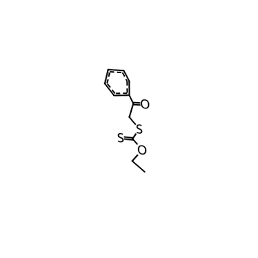 CCOC(=S)SCC(=O)c1ccccc1